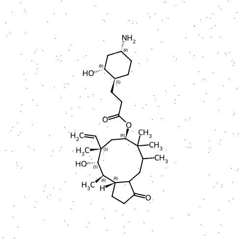 C=C[C@]1(C)C[C@@H](OC(=O)CC[C@@H]2CC[C@@H](N)C[C@H]2O)C(C)(C)C(C)CC2C(=O)CC[C@@H]2[C@@H](C)[C@@H]1O